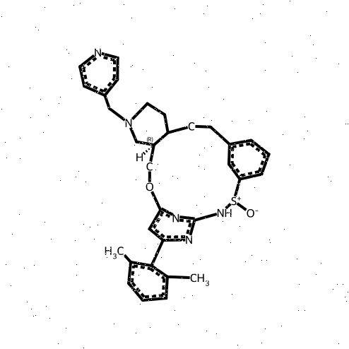 Cc1cccc(C)c1-c1cc2nc(n1)N[S+]([O-])c1cccc(c1)CCC1CCN(Cc3ccncc3)C[C@@H]1CO2